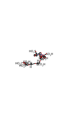 CC1(C)C(/C=C/C2=C(Oc3ccc(S(=O)(=O)O)cc3)C(=C/C=C3/N(CCCS(=O)(=O)O)c4ccccc4C3(C)CCCC(=O)NCCCC[C@H](NC(=O)CCCCCCC(=O)NCCCC[C@H](NC(=O)N[C@@H](CCC(=O)O)C(=O)O)C(=O)O)C(=O)O)/CCC2)=[N+](CCCS(=O)(=O)O)c2ccccc21